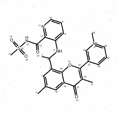 Cc1cc(C(C)Nc2cccnc2C(=O)NS(C)(=O)=O)c2oc(-c3ccc[n+](C)c3)c(C)c(=O)c2c1